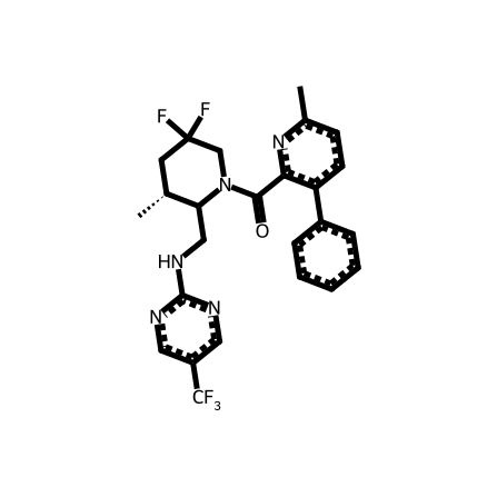 Cc1ccc(-c2ccccc2)c(C(=O)N2CC(F)(F)C[C@@H](C)C2CNc2ncc(C(F)(F)F)cn2)n1